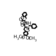 COc1cc2c(cc1OC)SN(Cc1ccccc1)C(C(=O)N[C@@H](Cc1ccccc1)C1(O)OO1)C2